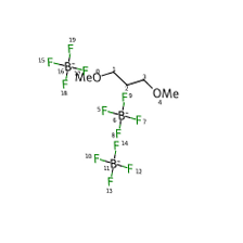 COCCCOC.F[B-](F)(F)F.F[B-](F)(F)F.F[B-](F)(F)F